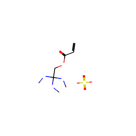 C=CC(=O)OCC(NC)(NC)NC.O=S(=O)(O)O